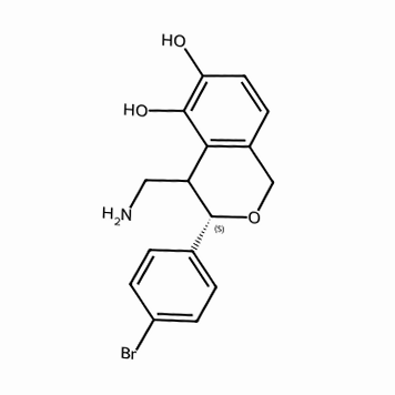 NCC1c2c(ccc(O)c2O)CO[C@@H]1c1ccc(Br)cc1